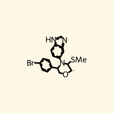 CSC1[CH]OCC(c2ccc(Br)cc2)N1c1ccc2[nH]cnc2c1